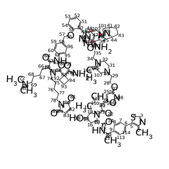 Cc1ncsc1-c1ccc([C@H](C)NC(=O)[C@@H]2C[C@@H](O)CN2C(=O)[C@@H](c2cc(OCCN3CCN(CCOc4cc(N5C6CCC5CN(c5cc(-c7ccccc7OCc7ccc(NC(=O)[C@H](CCCCN(C)C)N(CCCCCN8C(=O)C=CC8=O)C(=O)C8(C(N)=O)CCC8)cc7)nnc5N)C6)ccn4)[C@H](C)C3)no2)C(C)C)cc1